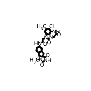 Cc1cc2c3c(c1Cl)NC(=O)Cn3c(=O)n2CC(=O)Nc1ccc2c(c1)CC1(C2)C(=O)NC(=O)N1C